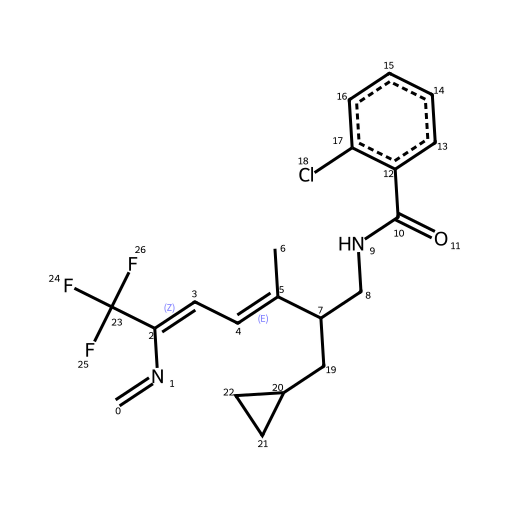 C=N/C(=C\C=C(/C)C(CNC(=O)c1ccccc1Cl)CC1CC1)C(F)(F)F